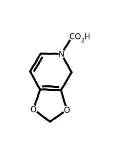 O=C(O)N1C=CC2=C(C1)OCO2